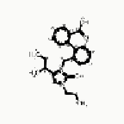 CCCn1cc(C(C)CC)n(Cc2ccccc2-c2ccccc2C(=O)O)c1=O